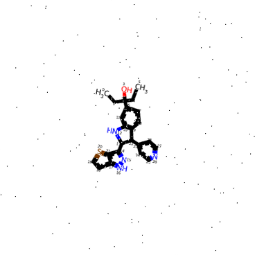 CCC(O)(CC)c1ccc2c(c1)NC(c1n[nH]c3ccsc13)C2c1ccncc1